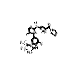 Cc1nc2c(F)cc(-c3nc(Nc4cc(C(=O)N5CCCC5)ns4)ncc3F)cc2n1C(C)C